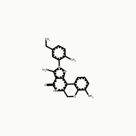 CCc1ccc(C)c(-n2nc3c4c([nH]c(=O)c3c2N)COc2c(N)cccc2-4)c1